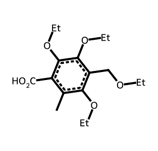 CCOCc1c(OCC)c(C)c(C(=O)O)c(OCC)c1OCC